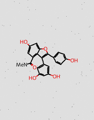 CNC(=O)c1cc(O)cc2oc(-c3ccc(O)cc3)c(-c3cc(O)cc(O)c3)c12